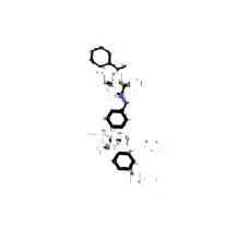 COc1cc([N+](=O)[O-])ccc1S(=O)(=O)Nc1ccc(/C=C2\SC(=O)N(C(C)C3CCCCC3)C2=O)cc1